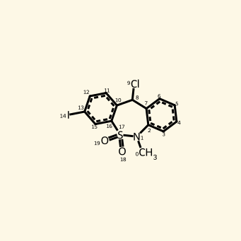 CN1c2ccccc2C(Cl)c2ccc(I)cc2S1(=O)=O